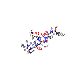 C/C=C/CC(C)[C@@H](O)C(C(=O)N[C@@H](CC)C(=O)N(C)CC(=O)NC)N(C)C(=O)[C@H](C(C)C)N(C)C(=O)[C@H](CC(C)C)N(C)C(=O)[C@H](CC(C)C)N(C)C